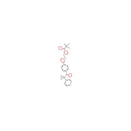 CC(C)(C)C(=O)OCCOc1ccc(C(=O)C2(c3ccccc3)CC2)cc1